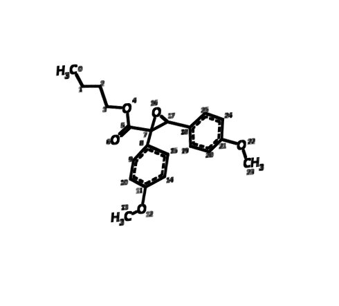 CCCCOC(=O)C1(c2ccc(OC)cc2)OC1c1ccc(OC)cc1